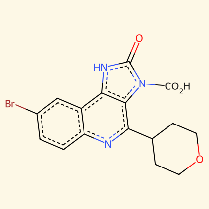 O=C(O)n1c(=O)[nH]c2c3cc(Br)ccc3nc(C3CCOCC3)c21